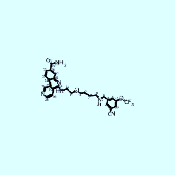 N#Cc1cc(CNCCCCOCCNc2nc3cc(C(N)=O)ccc3c3cnccc23)cc(OC(F)(F)F)c1